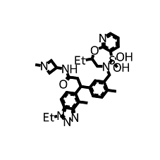 CCC1CN(Cc2cc(C(CC(=O)NC3CN(C)C3)c3ccc4c(nnn4CC)c3C)ccc2C)S(O)(O)c2cccnc2O1